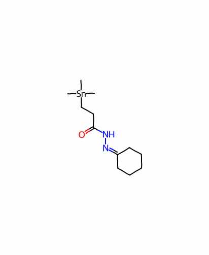 [CH3][Sn]([CH3])([CH3])[CH2]CC(=O)NN=C1CCCCC1